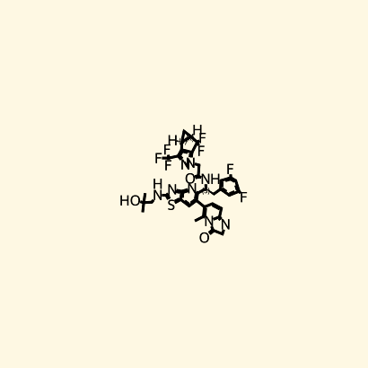 CC1=C(c2cc3sc(NCC(C)(C)O)nc3nc2[C@H](Cc2cc(F)cc(F)c2)NC(=O)Cn2nc(C(F)(F)F)c3c2C(F)(F)[C@@H]2C[C@H]32)C=CC2=NCC(=O)N21